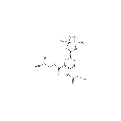 COC(=O)CNC(=O)c1cc(B2OC(C)(C)C(C)(C)O2)ccc1NC(=O)OC(C)(C)C